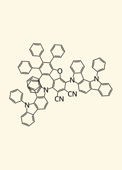 N#Cc1c(C#N)c(-n2c3ccccc3c3c2ccc2c4ccccc4n(-c4ccccc4)c23)c2c(oc3c(-c4ccccc4)c(-c4ccccc4)c(-c4ccccc4)c(-c4ccccc4)c32)c1-n1c2ccccc2c2c1ccc1c3ccccc3n(-c3ccccc3)c12